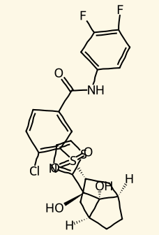 O=C(Nc1ccc(F)c(F)c1)c1ccc(Cl)c(S(=O)(=O)[C@@H]2C[C@H]3CC[C@@H](C2)[C@@]3(O)[C@@H](O)c2nccs2)c1